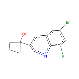 OC1(c2cnc3c(F)cc(Br)cc3c2)CCC1